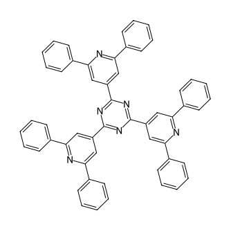 c1ccc(-c2cc(-c3nc(-c4cc(-c5ccccc5)nc(-c5ccccc5)c4)nc(-c4cc(-c5ccccc5)nc(-c5ccccc5)c4)n3)cc(-c3ccccc3)n2)cc1